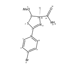 COC1SC(c2ccc(Br)cc2)=N[C@]1(C)C(N)=O